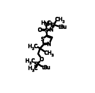 CC(C)(CO[Si](C)(C)C(C)(C)C)c1ncc(S(N)(=O)=N[Si](C)(C)C(C)(C)C)s1